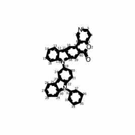 O=c1oc2ccncc2c2cc3c4ccccc4n(-c4ccc5c(c4)c4ccccc4n5-c4ccccc4)c3cc12